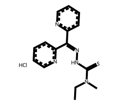 CCN(C)C(=S)NN=C(c1ccccn1)c1ccccn1.Cl